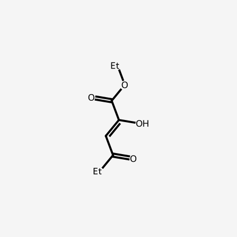 CCOC(=O)C(O)=CC(=O)CC